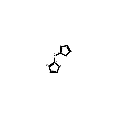 C1=CC[C]([Sn][C]2=CC=CC2)=C1